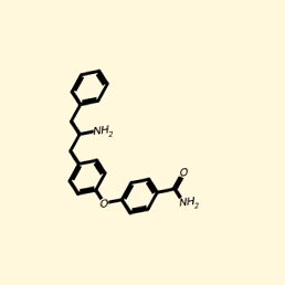 NC(=O)c1ccc(Oc2ccc(CC(N)Cc3ccccc3)cc2)cc1